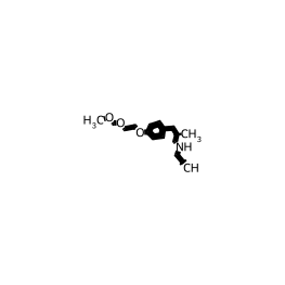 C#CCNC[C@H](C)Cc1ccc(OCCOCOC)cc1